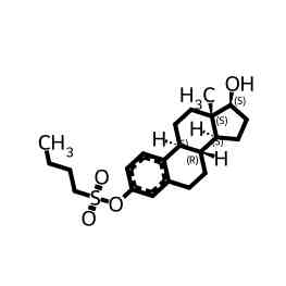 CCCCS(=O)(=O)Oc1ccc2c(c1)CC[C@@H]1[C@@H]2CC[C@]2(C)[C@@H](O)CC[C@@H]12